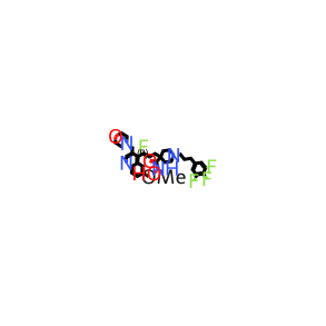 COc1ccc2ncc(CN3CCOCC3)c([C@H](F)CCC3(C(=O)NO)CCN(CCCc4cc(F)c(F)c(F)c4)CC3)c2c1